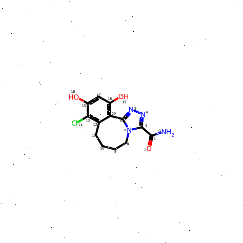 NC(=O)c1nnc2n1CCCCc1c(Cl)c(O)cc(O)c1-2